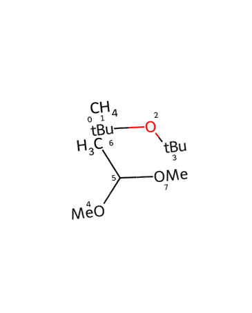 C.CC(C)(C)OC(C)(C)C.COC(C)OC